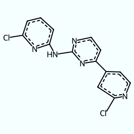 Clc1cc(-c2ccnc(Nc3cccc(Cl)n3)n2)ccn1